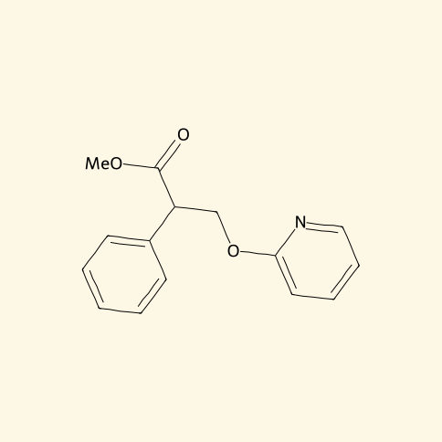 COC(=O)C(COc1ccccn1)c1ccccc1